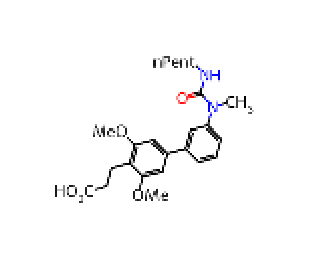 CCCCCNC(=O)N(C)c1cccc(-c2cc(OC)c(CCC(=O)O)c(OC)c2)c1